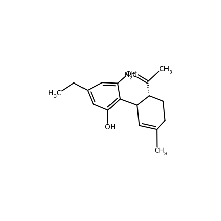 C=C(C)[C@@H]1CCC(C)=CC1c1c(O)cc(CC)cc1O